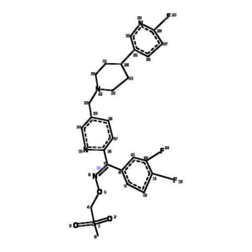 CS(=O)(=O)CO/N=C(\c1ccc(F)c(F)c1)c1ccc(CN2CCC(c3ccc(F)nc3)CC2)cn1